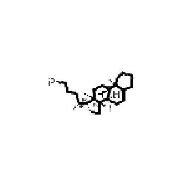 CC(C)CCC[C@@H](C)[C@H]1CC[C@H]2[C@@H]3CC=C4C[CH]CC[C@]4(C)[C@H]3CC[C@]12C